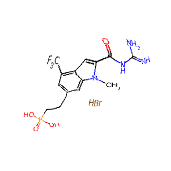 Br.Cn1c(C(=O)NC(=N)N)cc2c(C(F)(F)F)cc(CCP(=O)(O)O)cc21